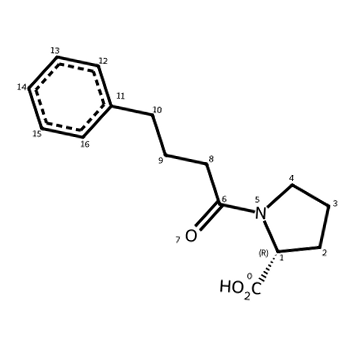 O=C(O)[C@H]1CCCN1C(=O)CCCc1ccccc1